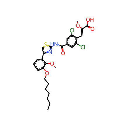 CCCCCCCOc1cccc(-c2csc(NC(=O)c3cc(Cl)c(C=C(OC)C(=O)O)c(Cl)c3)n2)c1OC